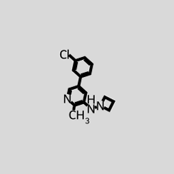 Cc1ncc(-c2cccc(Cl)c2)cc1NN1CCC1